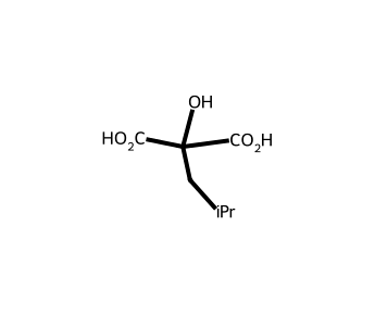 CC(C)CC(O)(C(=O)O)C(=O)O